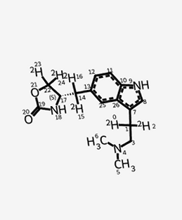 [2H]C([2H])(CN(C)C)c1c[nH]c2ccc(C([2H])([2H])[C@@H]3NC(=O)OC3([2H])[2H])cc12